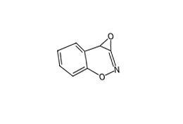 c1ccc2c(c1)ON=C1OC12